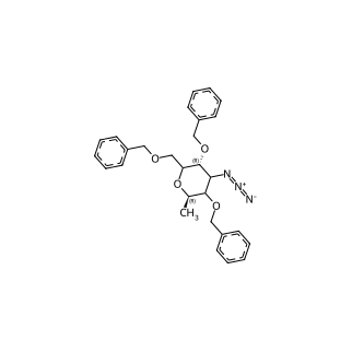 C[C@H]1OC(COCc2ccccc2)[C@H](OCc2ccccc2)C(N=[N+]=[N-])C1OCc1ccccc1